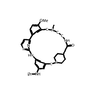 COc1ccc2cc1CN(C)CCNC(=O)C1CCN(CC1)Cc1cc(cc(NC(C)C)c1)Nc1nccc-2n1